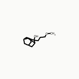 COCCCC1(O)C2CC3CC(C2)CC1C3